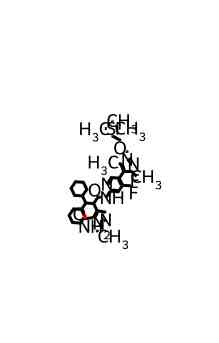 CCn1ncc(C(C(=O)Nc2cc(C(F)F)c(-c3c(C)nn(COCC[Si](C)(C)C)c3C)cn2)C(C2CCCCC2)C2CCCCC2)c1C(N)=O